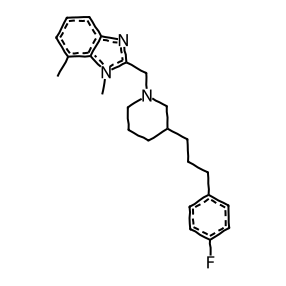 Cc1cccc2nc(CN3CCCC(CCCc4ccc(F)cc4)C3)n(C)c12